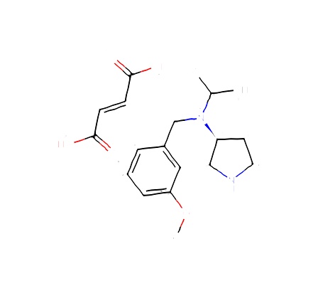 COc1cccc(CN(C(C)C)[C@H]2CCNC2)c1.O=C(O)/C=C/C(=O)O